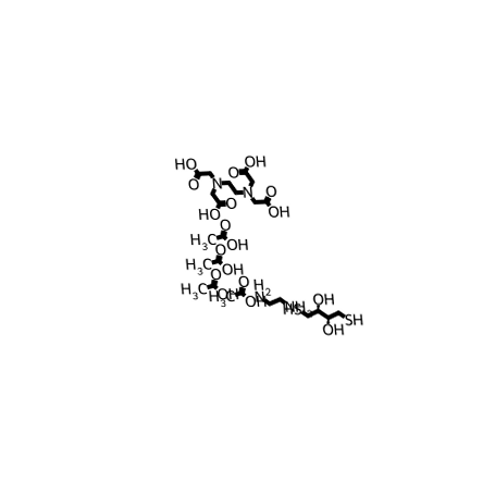 CC(=O)O.CC(=O)O.CC(=O)O.CC(=O)O.NCCN.O=C(O)CN(CCN(CC(=O)O)CC(=O)O)CC(=O)O.O[C@H](CS)[C@H](O)CS